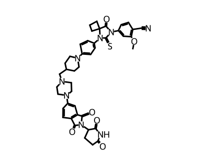 COc1cc(N2C(=O)C3(CCC3)N(c3ccc(N4CCC(CN5CCN(c6ccc7c(c6)C(=O)N(C6CCC(=O)NC6=O)C7=O)CC5)CC4)cc3)C2=S)ccc1C#N